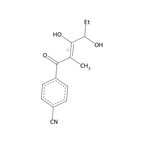 CCC(O)/C(O)=C(\C)C(=O)c1ccc(C#N)cc1